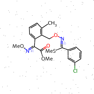 CO/N=C(/C(=O)OC)c1cccc(C)c1CO/N=C(\SC)c1cccc(Cl)c1